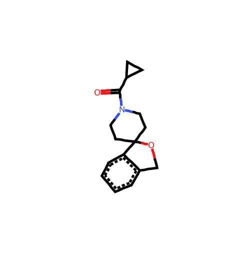 O=C(C1CC1)N1CCC2(CC1)OCc1ccccc12